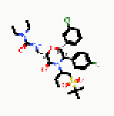 CCC(CS(=O)(=O)C(C)(C)C)N1C(=O)[C@H](CNC(=O)N(CC)CC)O[C@H](c2cccc(Cl)c2)[C@H]1c1ccc(Cl)cc1